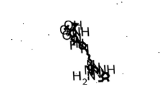 CCc1cc(Nc2nc(N)c3ncn(CCCCCN4CCN(c5nc6[nH]c(C7CC7)c(C(=O)O)c(=O)c6cc5F)CC4)c3n2)ccc1C